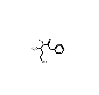 CSCC[C@@H](C(=O)O)N(C(C)=O)C(=O)Cc1ccccc1